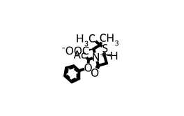 CC(=O)C(Oc1ccccc1)[N+]12C(=O)C[C@H]1SC(C)(C)[C@@H]2C(=O)[O-]